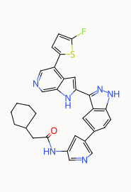 O=C(CC1CCCCC1)Nc1cncc(-c2ccc3[nH]nc(-c4cc5c(-c6ccc(F)s6)cncc5[nH]4)c3c2)c1